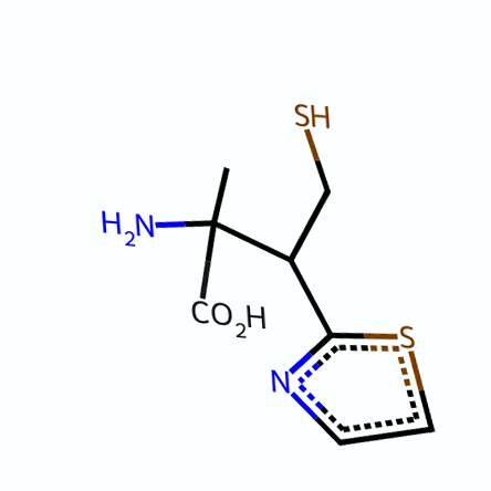 CC(N)(C(=O)O)C(CS)c1nccs1